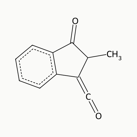 CC1C(=O)c2ccccc2C1=C=O